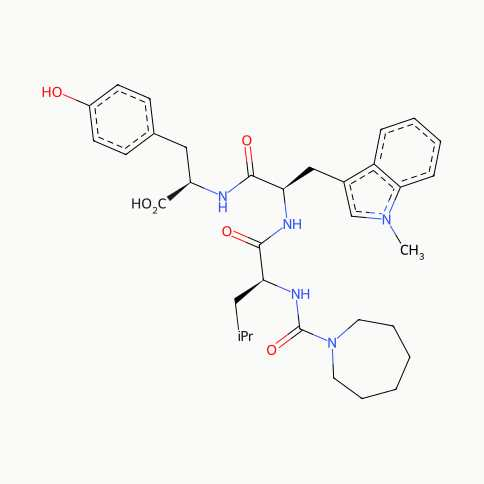 CC(C)C[C@H](NC(=O)N1CCCCCC1)C(=O)N[C@H](Cc1cn(C)c2ccccc12)C(=O)N[C@H](Cc1ccc(O)cc1)C(=O)O